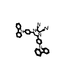 N#CC1=C(C#N)N=C(c2ccc(-n3c4ccccc4c4ccccc43)cc2)CC(c2ccc(-n3c4ccccc4c4ccccc43)cc2)=N1